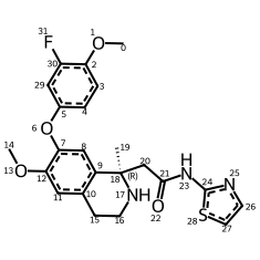 COc1ccc(Oc2cc3c(cc2OC)CCN[C@]3(C)CC(=O)Nc2nccs2)cc1F